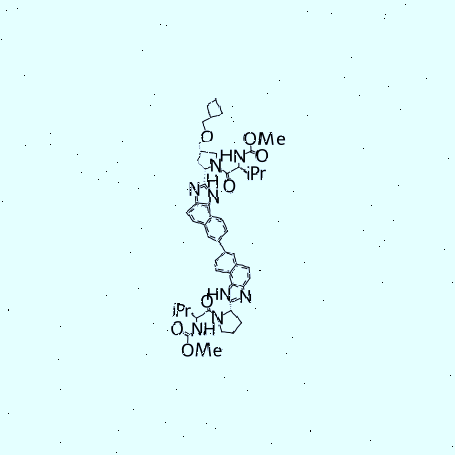 COC(=O)N[C@H](C(=O)N1CCC[C@H]1c1nc2ccc3cc(-c4ccc5c(ccc6nc([C@@H]7C[C@H](COCC8CCC8)CN7C(=O)[C@@H](NC(=O)OC)C(C)C)[nH]c65)c4)ccc3c2[nH]1)C(C)C